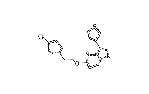 Clc1ccc(CCOc2ccc3ncc(-c4ccsc4)n3n2)cc1